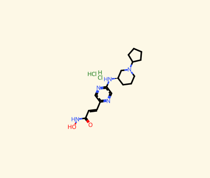 Cl.Cl.O=C(C=Cc1cnc(N[C@@H]2CCCN(C3CCCC3)C2)cn1)NO